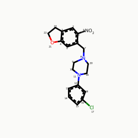 O=[N+]([O-])c1cc2c(cc1CN1CCN(c3cccc(Cl)c3)CC1)OCC2